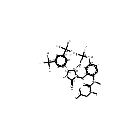 CC(C)CN(C)C(=O)N(C)c1ccc(OC(F)(F)F)cc1CN1C(=O)O[C@H](c2cc(C(F)(F)F)cc(C(F)(F)F)c2)[C@@H]1C